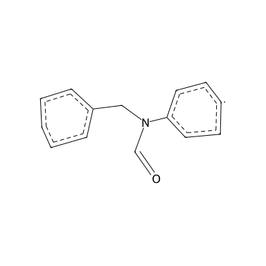 O=CN(Cc1ccccc1)c1cc[c]cc1